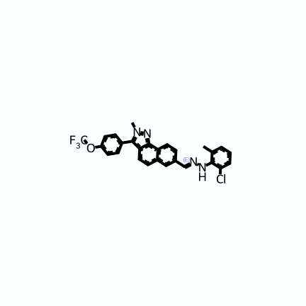 Cc1cccc(Cl)c1N/N=C/c1ccc2c(ccc3c(-c4ccc(OC(F)(F)F)cc4)n(C)nc32)c1